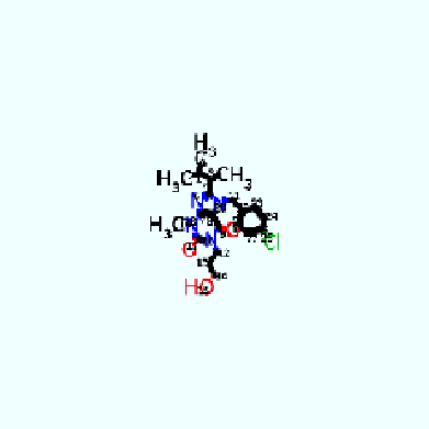 CC(C)C(C)c1nc2c(c(=O)n(CCCO)c(=O)n2C)n1Cc1ccc(Cl)cc1